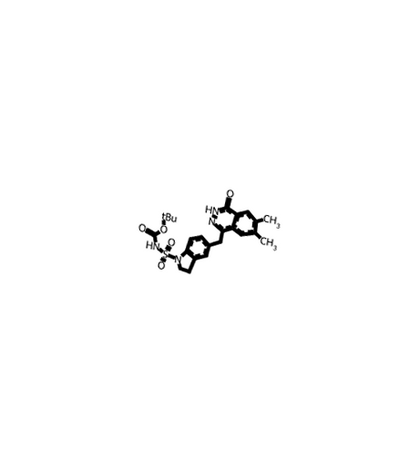 Cc1cc2c(Cc3ccc4c(c3)CCN4S(=O)(=O)NC(=O)OC(C)(C)C)n[nH]c(=O)c2cc1C